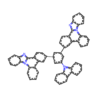 c1ccc2c(c1)nc1c3ccc(-c4cc(-c5ccc6c(c5)c5ccccc5n5c7ccccc7nc65)cc(-n5c6ccccc6c6ccccc65)c4)cc3c3ccccc3n21